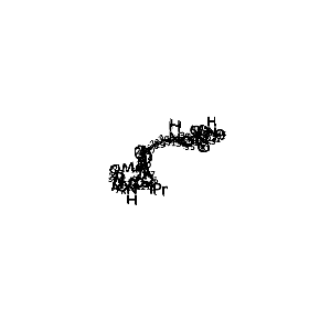 COC1CCN(c2nccc(Nc3cc4c(C(C)C)ccc(N5C[C@H](CS(=O)(=O)CCCCCCNc6ccc7c(c6)C(=O)N(C6CCC(=O)NC6=O)C7=O)[C@H]5C)c4cn3)n2)CC1